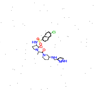 CC(C(=O)N1CCCC(NCc2cc[nH]n2)C1)N1CCC(NS(=O)(=O)c2ccc3cc(Cl)ccc3c2)C1=O